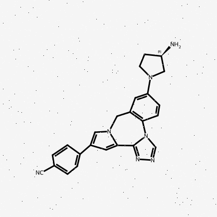 N#Cc1ccc(-c2cc3n(c2)Cc2cc(N4CC[C@@H](N)C4)ccc2-n2cnnc2-3)cc1